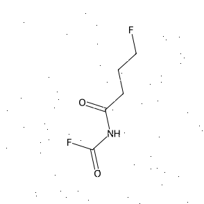 O=C(F)NC(=O)CCCF